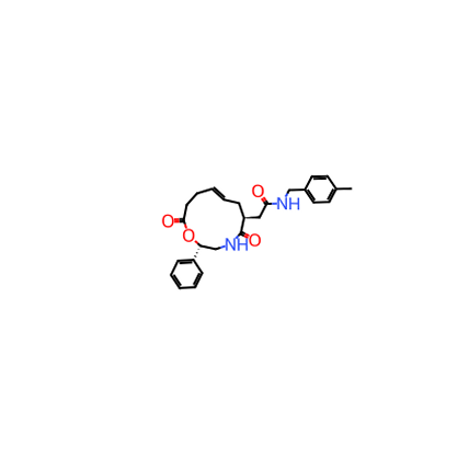 Cc1ccc(CNC(=O)C[C@@H]2C/C=C/CCC(=O)O[C@@H](c3ccccc3)CNC2=O)cc1